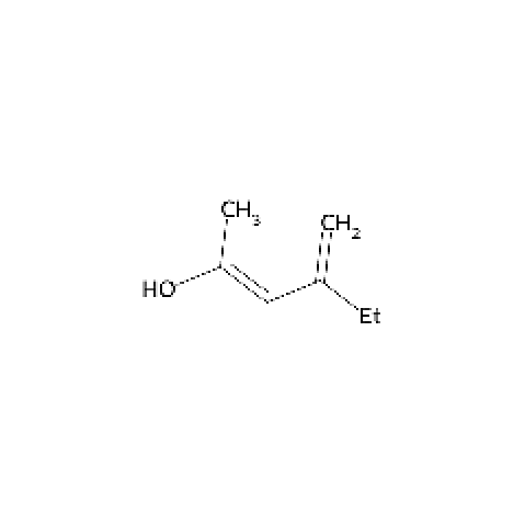 C=C(/C=C(\C)O)CC